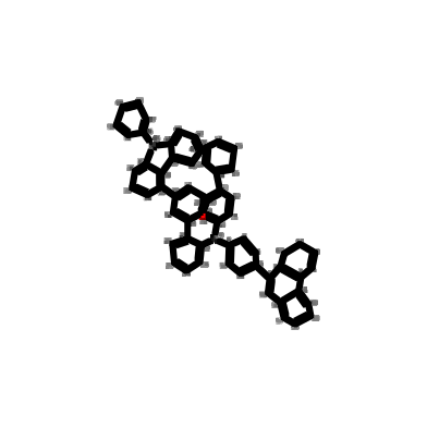 C1=Cc2c(c(-c3ccc(N(c4ccc(-c5ccccc5)cc4)c4ccccc4-c4cccc(-c5cccc6c5c5ccccc5n6-c5ccccc5)c4)cc3)cc3ccccc23)CC1